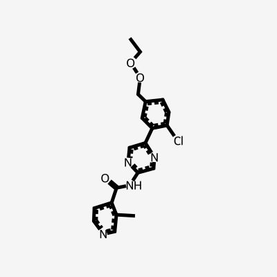 CCOOCc1ccc(Cl)c(-c2cnc(NC(=O)c3ccncc3C)cn2)c1